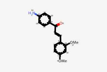 COc1ccc(/C=C/C(=O)c2ccc(N)cc2)c(OC)c1